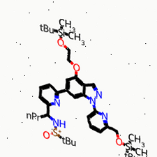 CCCC(N[S+]([O-])C(C)(C)C)c1cccc(-c2cc(OCCO[Si](C)(C)C(C)(C)C)c3cnn(-c4cccc(CO[Si](C)(C)C(C)(C)C)n4)c3c2)n1